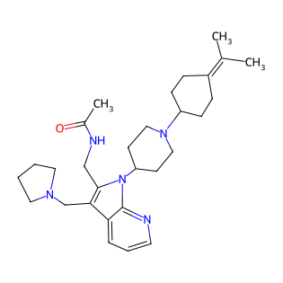 CC(=O)NCc1c(CN2CCCC2)c2cccnc2n1C1CCN(C2CCC(=C(C)C)CC2)CC1